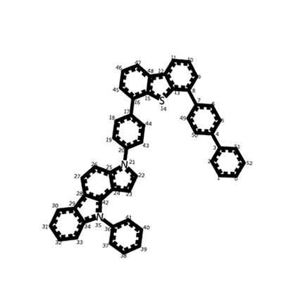 c1ccc(-c2ccc(-c3cccc4c3sc3c(-c5ccc(-n6ccc7c6ccc6c8ccccc8n(-c8ccccc8)c67)cc5)cccc34)cc2)cc1